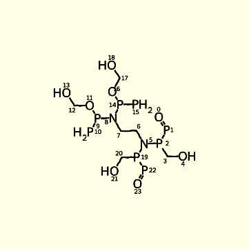 O=PP(CO)N(CCN(P(P)OCO)P(P)OCO)P(CO)P=O